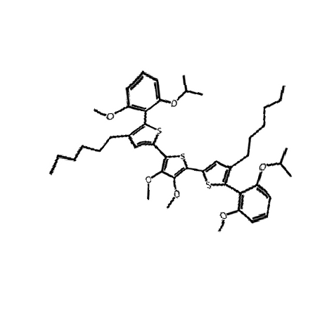 CCCCCCc1cc(-c2sc(-c3cc(CCCCCC)c(-c4c(OC)cccc4OC(C)C)s3)c(OC)c2OC)sc1-c1c(OC)cccc1OC(C)C